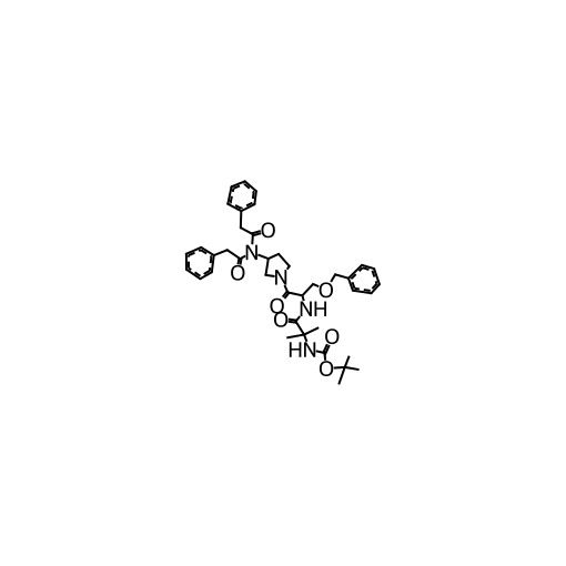 CC(C)(C)OC(=O)NC(C)(C)C(=O)NC(COCc1ccccc1)C(=O)N1CCC(N(C(=O)Cc2ccccc2)C(=O)Cc2ccccc2)C1